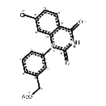 CC(=O)OCc1cccc(-n2c(=O)[nH]c(=O)c3ccc(Cl)cc32)c1